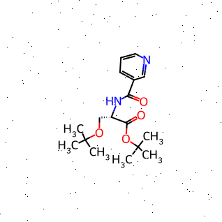 CC(C)(C)OC[C@H](NC(=O)c1cccnc1)C(=O)OC(C)(C)C